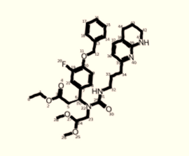 CCOC(=O)C[C@@H](c1ccc(OCc2ccccc2)c(F)c1)N(CC(OC)OC)C(=O)NCCCc1ccc2c(n1)NCCC2